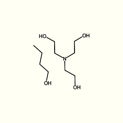 CCCCO.OCCN(CCO)CCO